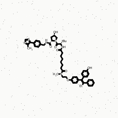 CC/C(=C(/c1ccc(O)cc1)c1ccc(OCCN(C)C(=O)CCCCCCC(=O)N[C@H](C(=O)N2C[C@H](O)C[C@H]2C(=O)NCc2ccc(-c3scnc3C)cc2)C(C)(C)C)cc1)c1ccccc1